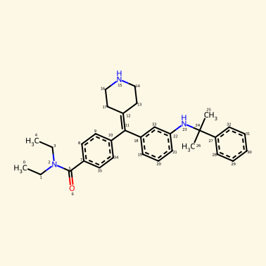 CCN(CC)C(=O)c1ccc(C(=C2CCNCC2)c2cccc(NC(C)(C)c3ccccc3)c2)cc1